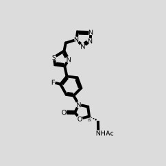 CC(=O)NC[C@H]1CN(c2ccc(-c3csc(Cn4cnnn4)n3)c(F)c2)C(=O)O1